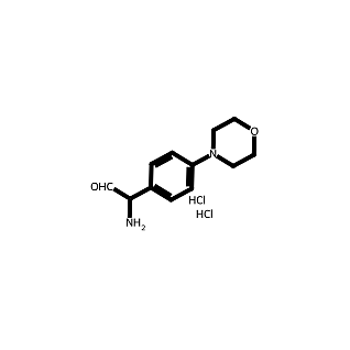 Cl.Cl.NC(C=O)c1ccc(N2CCOCC2)cc1